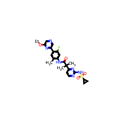 CCOc1cncc(-c2cc(C)c(NC(=O)C(C)(C)c3ccnc(NS(=O)(=O)C4CC4)n3)cc2F)n1